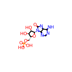 N=C1N=CN=C2C1=NC(=O)N2[C@@H]1O[C@H](COP(=O)(O)O)[C@@H](O)[C@H]1O